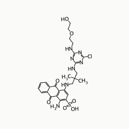 CC(C)(CNc1nc(Cl)nc(NCCOCCO)n1)CNc1cc(S(=O)(=O)O)c(N)c2c1C(=O)c1ccccc1C2=O